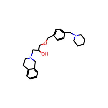 OC(COCc1ccc(CN2CCCCC2)cc1)CN1CCc2ccccc2C1